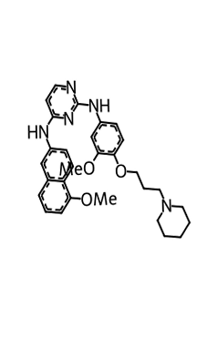 COc1cc(Nc2nccc(Nc3ccc4c(OC)cccc4c3)n2)ccc1OCCCN1CCCCC1